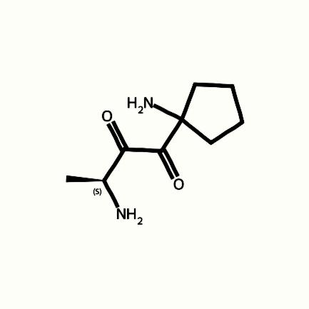 C[C@H](N)C(=O)C(=O)C1(N)CCCC1